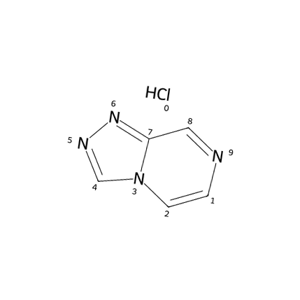 Cl.c1cn2cnnc2cn1